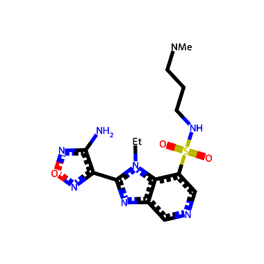 CCn1c(-c2nonc2N)nc2cncc(S(=O)(=O)NCCCNC)c21